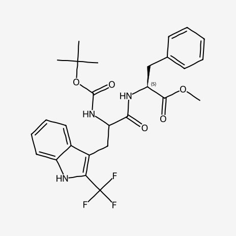 COC(=O)[C@H](Cc1ccccc1)NC(=O)C(Cc1c(C(F)(F)F)[nH]c2ccccc12)NC(=O)OC(C)(C)C